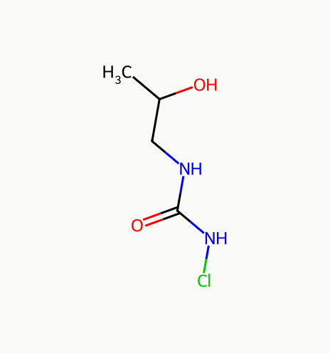 CC(O)CNC(=O)NCl